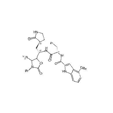 COc1cccc2[nH]c(C(=O)N[C@@H](CC(C)C)C(=O)N[C@@H](C[C@@H]3CCNC3=O)C3OC(=O)N(C(C)C)C3N)cc12